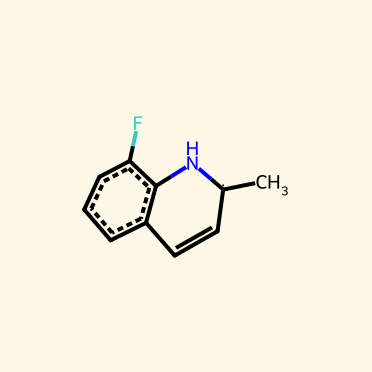 C[C]1C=Cc2cccc(F)c2N1